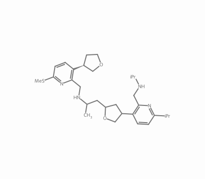 CSc1ccc([C@H]2CCOC2)c(CNC(C)CC2CC(c3ccc(C(C)C)nc3CNC(C)C)CO2)n1